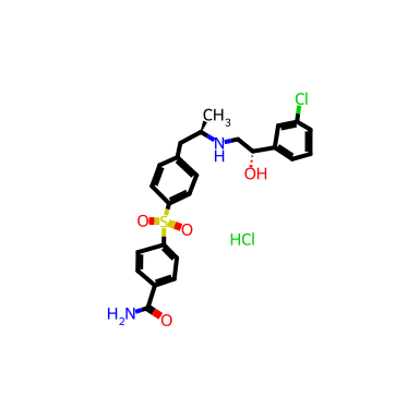 C[C@H](Cc1ccc(S(=O)(=O)c2ccc(C(N)=O)cc2)cc1)NC[C@@H](O)c1cccc(Cl)c1.Cl